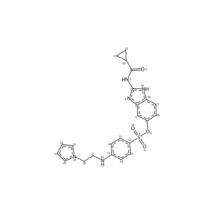 O=C(Nc1nc2cc(OS(=O)(=O)c3ccc(NCCn4cccc4)cc3)ccc2[nH]1)C1CC1